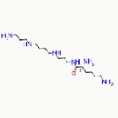 NCCCC[C@@H](N)C(=O)NCCCNCCCCNCCCN